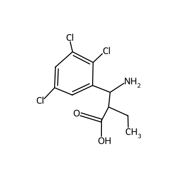 CCC(C(=O)O)C(N)c1cc(Cl)cc(Cl)c1Cl